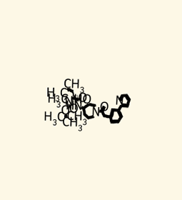 CC(C)C[C@@H](C(=O)NC1CCCN(C(=O)Cc2cccc(-c3ccccn3)c2)CC1O)N(C)C(=O)OC(C)(C)C